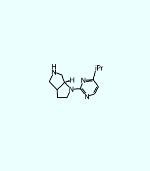 CC(C)c1ccnc(N2CCC3CNC[C@@H]32)n1